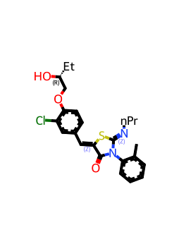 CCC/N=C1\S/C(=C\c2ccc(OC[C@H](O)CC)c(Cl)c2)C(=O)N1c1ccccc1C